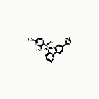 COc1nc(C)cnc1N(P)S(=O)(=O)c1cccnc1-c1ccc(-c2nnco2)cc1